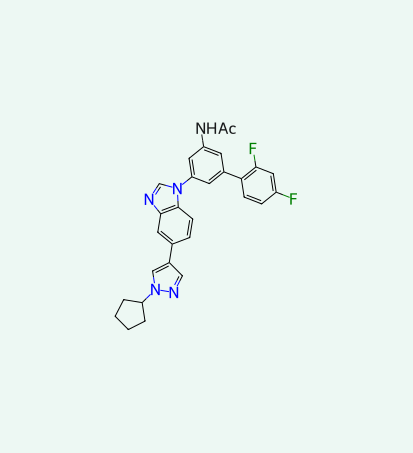 CC(=O)Nc1cc(-c2ccc(F)cc2F)cc(-n2cnc3cc(-c4cnn(C5CCCC5)c4)ccc32)c1